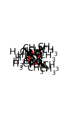 CC1=C(C)C(C)C([Si](c2ccc(N(C)C)cc2N(C)C)(c2ccc(N(C)C)cc2N(C)C)c2ccc(N(C)C)cc2N(C)C)=C1C